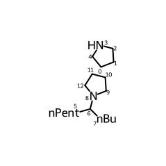 C1CCNC1.CCCCCC(CCCC)N1CCCC1